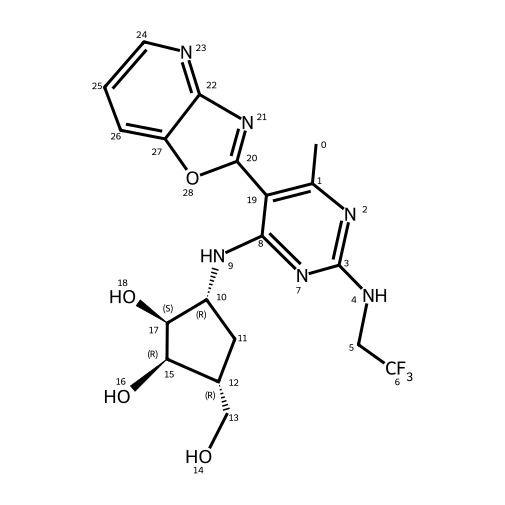 Cc1nc(NCC(F)(F)F)nc(N[C@@H]2C[C@H](CO)[C@@H](O)[C@H]2O)c1-c1nc2ncccc2o1